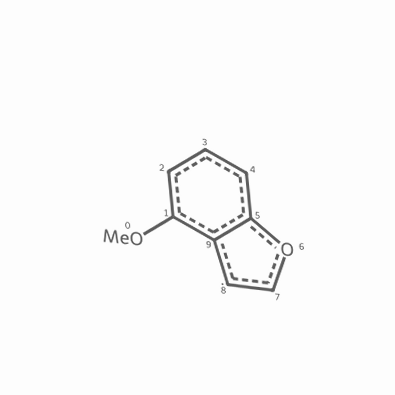 COc1cccc2oc[c]c12